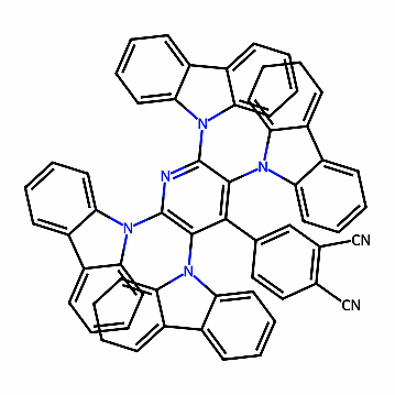 N#Cc1ccc(-c2c(-n3c4c(c5ccccc53)=CCCC=4)c(-n3c4ccccc4c4ccccc43)nc(-n3c4ccccc4c4ccccc43)c2-n2c3c(c4ccccc42)=CCCC=3)cc1C#N